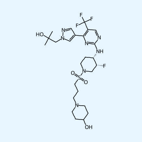 CC(C)(O)Cn1cc(-c2nc(N[C@H]3CCN(S(=O)(=O)CCCN4CCC(O)CC4)C[C@H]3F)ncc2C(F)(F)F)cn1